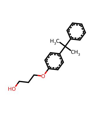 CC(C)(c1ccccc1)c1ccc(OCCCO)cc1